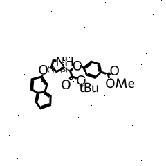 COC(=O)c1ccc(OC(C(=O)OC(C)(C)C)[C@@H]2C[C@H](Oc3ccc4ccccc4c3)CN2)cc1